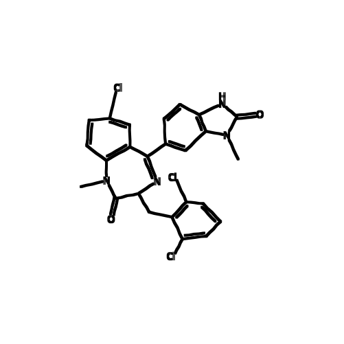 CN1C(=O)C(Cc2c(Cl)cccc2Cl)N=C(c2ccc3[nH]c(=O)n(C)c3c2)c2cc(Cl)ccc21